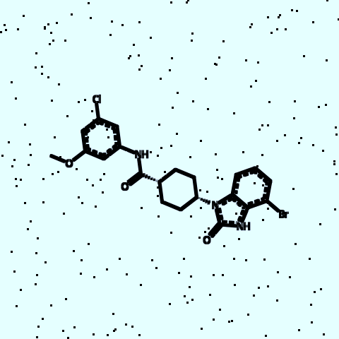 COc1cc(Cl)cc(NC(=O)[C@H]2CC[C@@H](n3c(=O)[nH]c4c(Br)cccc43)CC2)c1